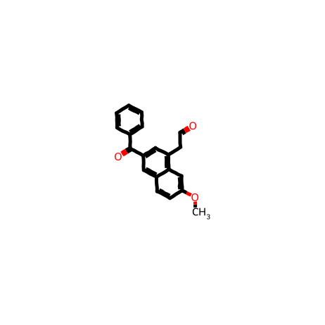 COc1ccc2cc(C(=O)c3ccccc3)cc(CC=O)c2c1